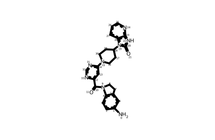 Nc1ccc2c(c1)CCN2C(=O)c1cc(N2CCC(n3c(=O)[nH]c4ncccc43)CC2)ncn1